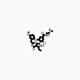 CCc1[nH]n(-c2c(Cl)cc(C(=O)NCCN(C)C)cc2Cl)c2nc(Cc3cccc(OC)c3)nc(=O)c1-2